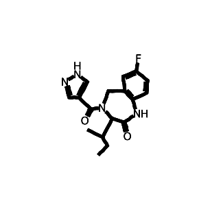 CCC(C)C1C(=O)Nc2ccc(F)cc2CN1C(=O)c1cn[nH]c1